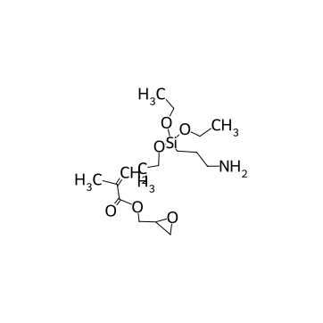 C=C(C)C(=O)OCC1CO1.CCO[Si](CCCN)(OCC)OCC